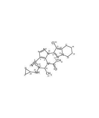 CC(=O)N(c1c(C#N)cnn1-c1nn2c(c1Cl)CCCC2)C(C)C(=O)NC1CC1